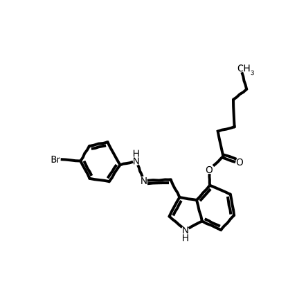 CCCCCC(=O)Oc1cccc2[nH]cc(C=NNc3ccc(Br)cc3)c12